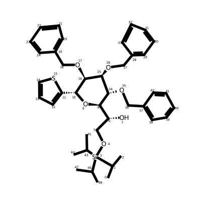 CC(C)[Si](OC[C@@H](O)[C@H]1O[C@H](c2cccs2)[C@@H](OCc2ccccc2)[C@@H](OCc2ccccc2)[C@@H]1OCc1ccccc1)(C(C)C)C(C)C